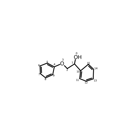 OC(COc1ccccc1)c1ccccc1